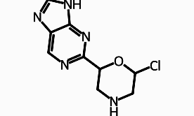 ClC1CNCC(c2ncc3nc[nH]c3n2)O1